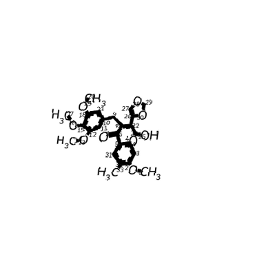 COc1ccc(C(=O)C(Cc2cc(OC)c(OC)c(OC)c2)=C(C(=O)O)C2=COCO2)cc1C